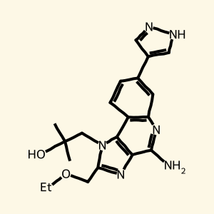 CCOCc1nc2c(N)nc3cc(-c4cn[nH]c4)ccc3c2n1CC(C)(C)O